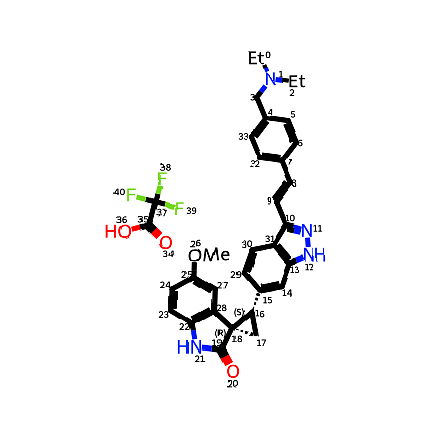 CCN(CC)Cc1ccc(C=Cc2n[nH]c3cc([C@@H]4C[C@@]45C(=O)Nc4ccc(OC)cc45)ccc23)cc1.O=C(O)C(F)(F)F